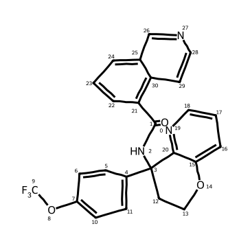 O=C(NC1(c2ccc(OC(F)(F)F)cc2)CCOc2cccnc21)c1cccc2cnccc12